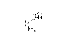 Nc1ccc2cccc(CCCC(=O)NC3CCCCC3)c2c1